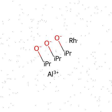 CC(C)[O-].CC(C)[O-].CC(C)[O-].[Al+3].[Rh]